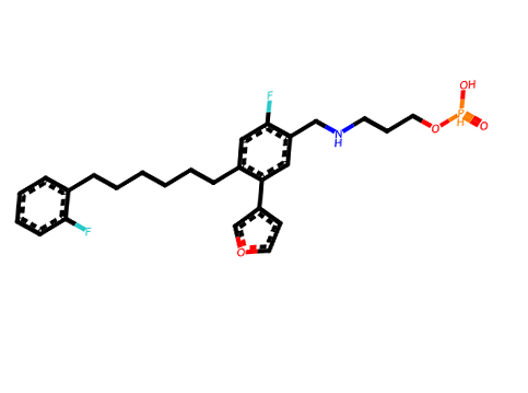 O=[PH](O)OCCCNCc1cc(-c2ccoc2)c(CCCCCCc2ccccc2F)cc1F